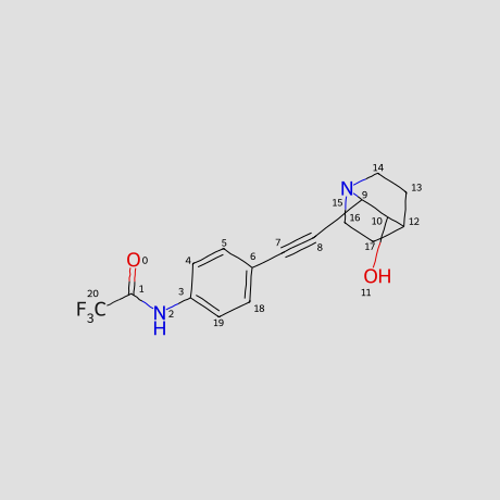 O=C(Nc1ccc(C#CC2C(O)C3CCN2CC3)cc1)C(F)(F)F